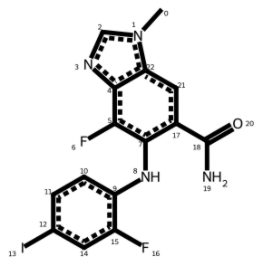 Cn1cnc2c(F)c(Nc3ccc(I)cc3F)c(C(N)=O)cc21